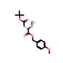 COc1ccc(COC(=O)[C@H](CC(=O)OC(C)(C)C)ON)cc1